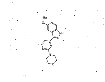 CCC(C)Oc1ccc2[nH]nc(-c3ccnc(N4CCOCC4)c3)c2c1